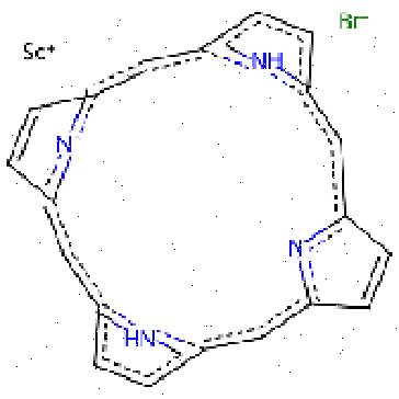 C1=Cc2cc3ccc(cc4nc(cc5ccc(cc1n2)[nH]5)C=C4)[nH]3.[Br-].[Sc+]